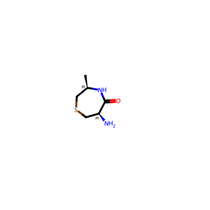 C[C@@H]1CSC[C@H](N)C(=O)N1